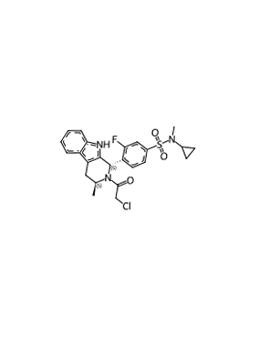 C[C@H]1Cc2c([nH]c3ccccc23)[C@H](c2ccc(S(=O)(=O)N(C)C3CC3)cc2F)N1C(=O)CCl